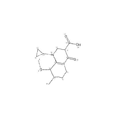 COC1C2=C(CCC1C)C(=O)C(C(=O)O)CN2C1CC1